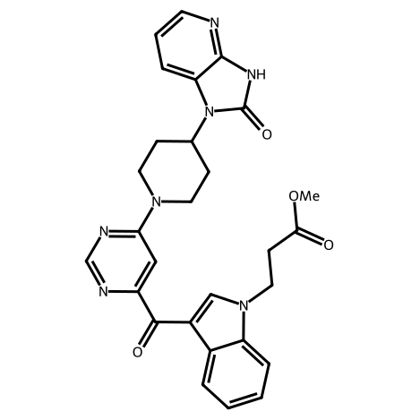 COC(=O)CCn1cc(C(=O)c2cc(N3CCC(n4c(=O)[nH]c5ncccc54)CC3)ncn2)c2ccccc21